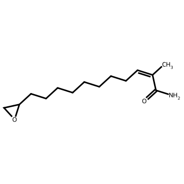 CC(=CCCCCCCCCC1CO1)C(N)=O